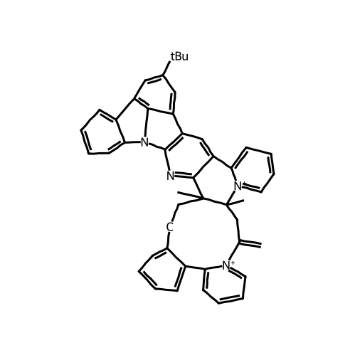 C=C1CC2(C)[n+]3ccccc3-c3cc4c5cc(C(C)(C)C)cc6c7ccccc7n(c4nc3C2(C)CCc2ccccc2-c2cccc[n+]21)c65